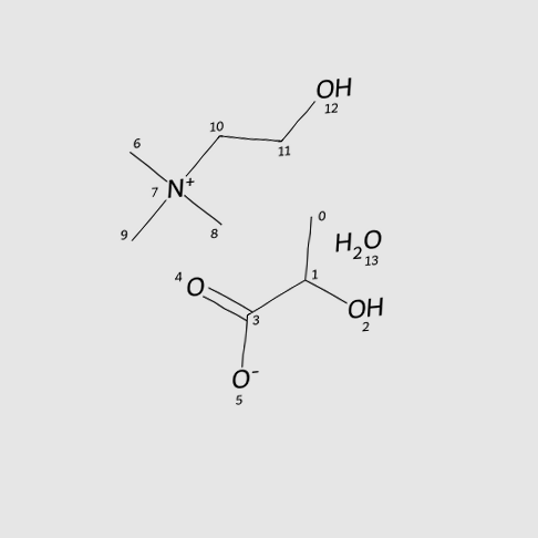 CC(O)C(=O)[O-].C[N+](C)(C)CCO.O